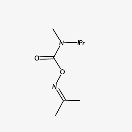 CC(C)=NOC(=O)N(C)C(C)C